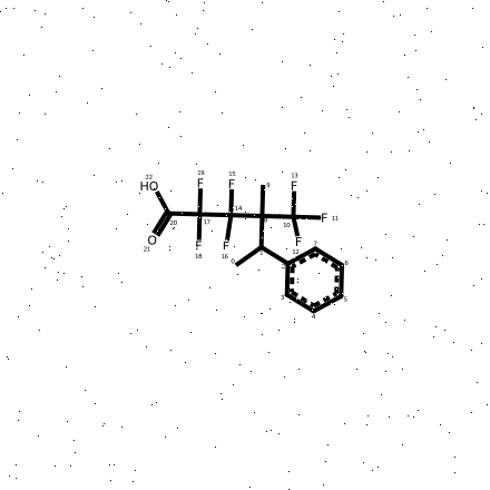 CC(c1ccccc1)C(C)(C(F)(F)F)C(F)(F)C(F)(F)C(=O)O